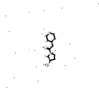 CC1CCN(C(=O)CC2CCOCC2)C1